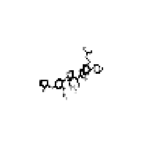 Cc1cc(Oc2ccccc2F)ccc1-n1ncc(C(=O)c2cc3cc(OCC(F)F)c(N4CCOCC4)cc3[nH]2)c1N